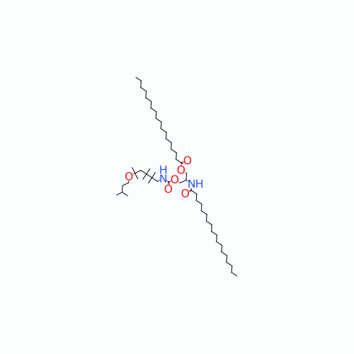 CCCCCCCCCCCCCCCCCC(=O)NC(COC(=O)CCCCCCCCCCCCCCCCC)COC(=O)NCC(C)(C)C(C)(C)CC(C)(C)OCCC(C)C